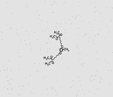 CCC(=O)C(CCCCCCOc1ccc(OCCCCCCC(C(=O)CC)C(=O)CC)c(C)c1)C(=O)CC